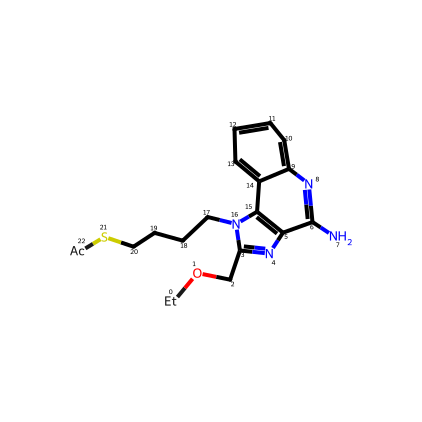 CCOCc1nc2c(N)nc3ccccc3c2n1CCCCSC(C)=O